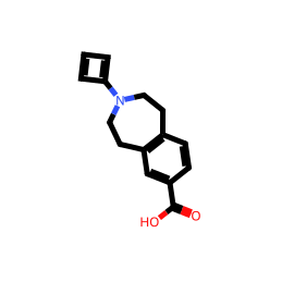 O=C(O)c1ccc2c(c1)CCN(C1=CC=C1)CC2